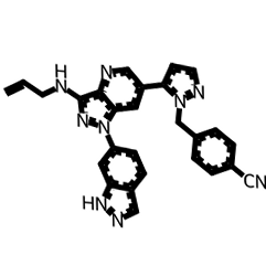 C=CCNc1nn(-c2ccc3cn[nH]c3c2)c2cc(-c3ccnn3Cc3ccc(C#N)cc3)cnc12